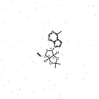 C=C[C@@H]1S[C@@H](n2ccc3c(C)ncnc32)[C@@H]2OC(C)(C)O[C@@H]21